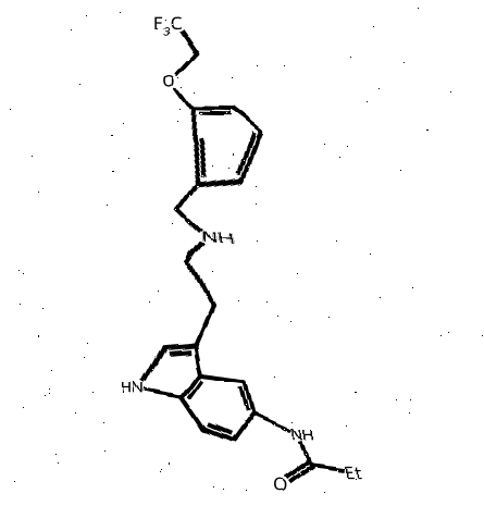 CCC(=O)Nc1ccc2[nH]cc(CCNCc3cccc(OCC(F)(F)F)c3)c2c1